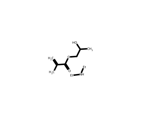 C=C(C)C(=O)OCC(C)O.CCNCC